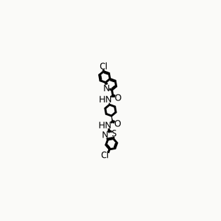 O=C(N[C@H]1CC[C@H](C(=O)Nc2nc3cc(Cl)ccc3s2)CC1)c1ccc2cc(Cl)ccc2n1